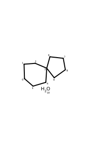 C1CCC2(CC1)CCCC2.O